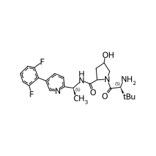 C[C@H](NC(=O)C1CC(O)CN1C(=O)[C@@H](N)C(C)(C)C)c1ccc(-c2c(F)cccc2F)cn1